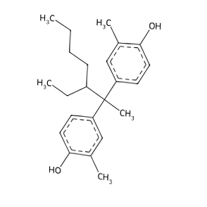 CCCCC(CC)C(C)(c1ccc(O)c(C)c1)c1ccc(O)c(C)c1